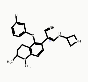 CC1CCc2c(ccc(/C(C=N)=C/NC3CNC3)c2Oc2cccc(Cl)c2)N1C